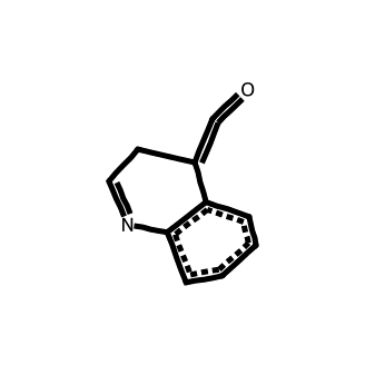 O=C=C1CC=Nc2ccccc21